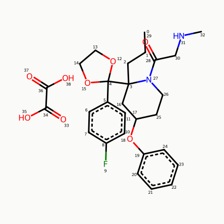 CCCC1(C2(c3ccc(F)cc3)OCCO2)CC(Oc2ccccc2)CCN1C(=O)CNC.O=C(O)C(=O)O